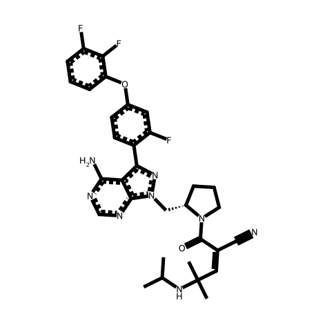 CC(C)NC(C)(C)/C=C(/C#N)C(=O)N1CCC[C@H]1Cn1nc(-c2ccc(Oc3cccc(F)c3F)cc2F)c2c(N)ncnc21